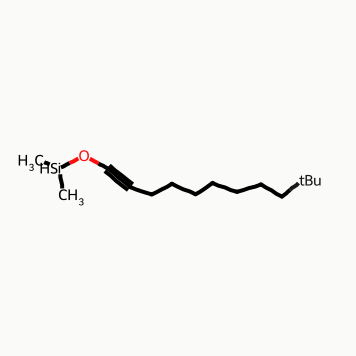 C[SiH](C)OC#CCCCCCCCC(C)(C)C